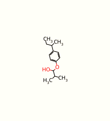 CCC(C)c1ccc(OC(O)C(C)C)cc1